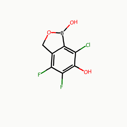 OB1OCc2c(F)c(F)c(O)c(Cl)c21